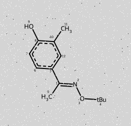 CC(=NOC(C)(C)C)c1ccc(O)c(C)c1